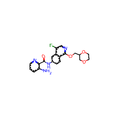 Nc1cccnc1C(=O)Nc1ccc2c(OCC3COCCO3)ncc(F)c2c1